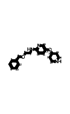 c1ccc(COCCNc2ccc(OC3CCNCC3)cn2)cc1